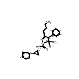 CCCCC1=NN(C(=O)N[C@@H]2C[C@H]2c2ccccc2)C(C)(C)C1c1ccccc1